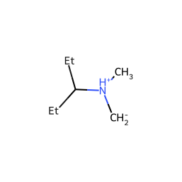 [CH2-][NH+](C)C(CC)CC